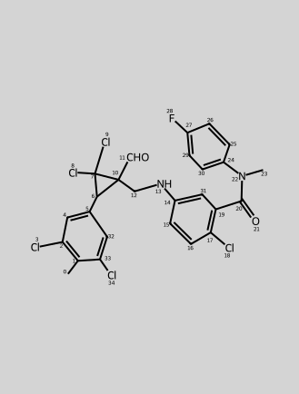 Cc1c(Cl)cc(C2C(Cl)(Cl)C2(C=O)CNc2ccc(Cl)c(C(=O)N(C)c3ccc(F)cc3)c2)cc1Cl